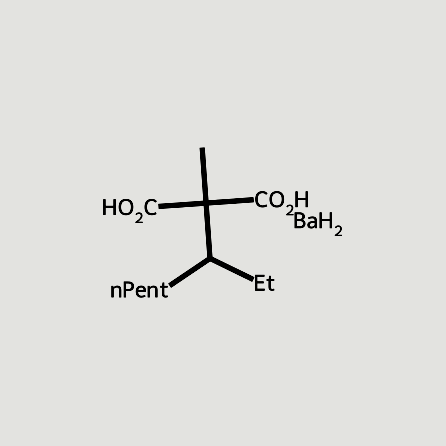 CCCCCC(CC)C(C)(C(=O)O)C(=O)O.[BaH2]